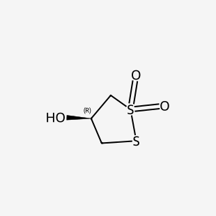 O=S1(=O)C[C@H](O)CS1